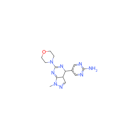 CN1N=CC2C1=NC(N1CCOCC1)=NC2c1cnc(N)nc1